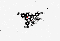 CC(C)(C)c1ccc(C2=CC(c3ccc(C(C)(C)C)cc3)=N/C2=C(/CCC(F)(F)F)c2c(-c3ccc(C(C)(C)C)cc3)cc(-c3ccc(C(C)(C)C)cc3)n2B(OCC(F)(F)C(F)(F)F)OCC(F)(F)C(F)(F)F)cc1